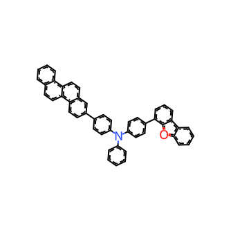 c1ccc(N(c2ccc(-c3ccc4c(ccc5c6ccccc6ccc45)c3)cc2)c2ccc(-c3cccc4c3oc3ccccc34)cc2)cc1